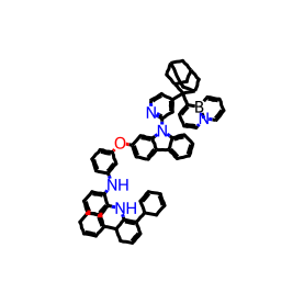 C1=CCC(C2=C(Nc3ccccc3Nc3cccc(Oc4ccc5c6ccccc6n(-c6cc(C7(C8=CC=CN9C=CC=CB89)C8CC9CC(C8)CC7C9)ccn6)c5c4)c3)C(C3=CCCC=C3)CC=C2)C=C1